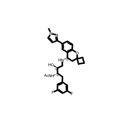 CC(=O)N[C@@H](Cc1cc(F)cc(F)c1)[C@@H](O)CN[C@H]1CC2(CCC2)Oc2ccc(-c3ccn(C)n3)cc21